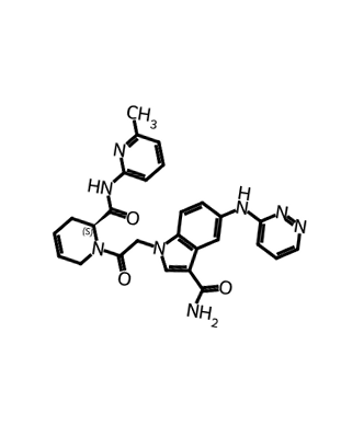 Cc1cccc(NC(=O)[C@@H]2CC=CCN2C(=O)Cn2cc(C(N)=O)c3cc(Nc4cccnn4)ccc32)n1